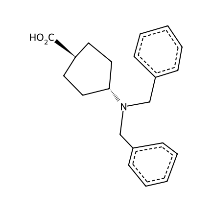 O=C(O)[C@H]1CC[C@H](N(Cc2ccccc2)Cc2ccccc2)CC1